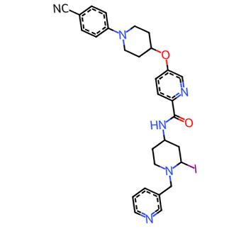 N#Cc1ccc(N2CCC(Oc3ccc(C(=O)NC4CCN(Cc5cccnc5)C(I)C4)nc3)CC2)cc1